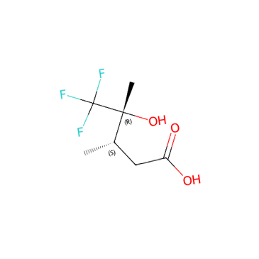 C[C@@H](CC(=O)O)[C@@](C)(O)C(F)(F)F